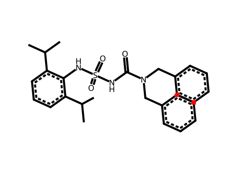 CC(C)c1cccc(C(C)C)c1NS(=O)(=O)NC(=O)N(Cc1ccccc1)Cc1ccccc1